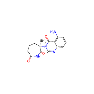 B[C@@]1(n2c(C)nc3cccc(N)c3c2=O)CCCC(=O)NC1=O